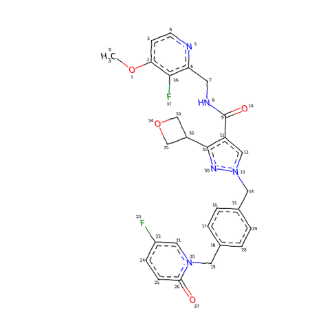 COc1ccnc(CNC(=O)c2cn(Cc3ccc(Cn4cc(F)ccc4=O)cc3)nc2C2COC2)c1F